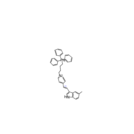 Cc1ccc2[nH]cc(/C=C/c3cc[n+](CCCC[PH](c4ccccc4)(c4ccccc4)c4ccccc4)cc3)c2c1